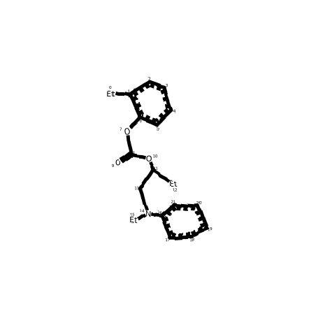 CCc1ccccc1OC(=O)OC(CC)CN(CC)c1ccccc1